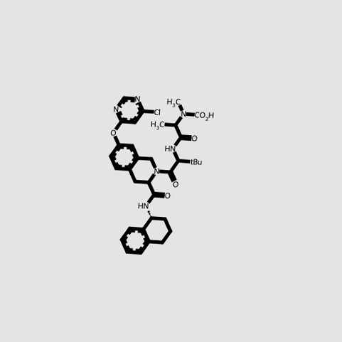 CC(C(=O)NC(C(=O)N1Cc2cc(Oc3cc(Cl)ncn3)ccc2CC1C(=O)N[C@@H]1CCCc2ccccc21)C(C)(C)C)N(C)C(=O)O